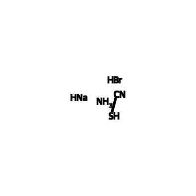 Br.N.N#CS.[NaH]